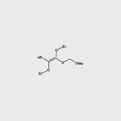 CCC/C(OCC)=C(\OCC)OCOC